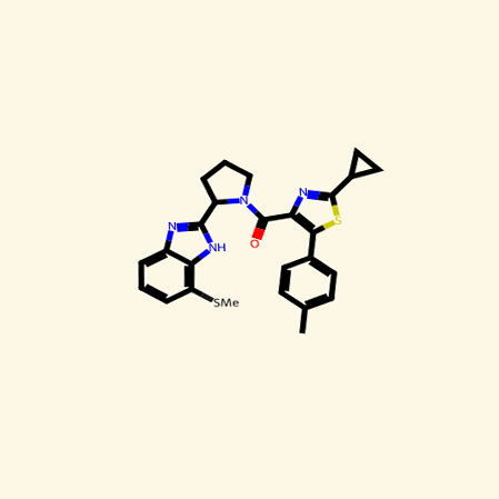 CSc1cccc2nc(C3CCCN3C(=O)c3nc(C4CC4)sc3-c3ccc(C)cc3)[nH]c12